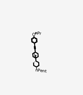 CCCCC[C@H]1CC[C@H](C23CCC(C#Cc4ccc(OCCC)cc4)(CC2)CC3)CC1